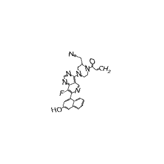 C=CC(=O)N1CCN(c2ncnc3c(F)c(-c4cc(O)cc5ccccc45)ncc23)CC1CC#N